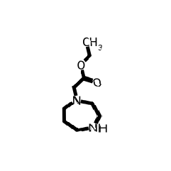 CCOC(=O)CN1CCCNCC1